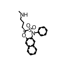 CNCCC[C@@H]1Oc2cc3ccccc3cc2N(c2ccccc2)S1(=O)=O